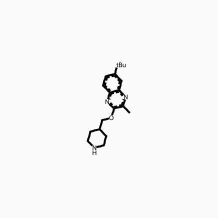 Cc1nc2cc(C(C)(C)C)ccc2nc1OCC1CCNCC1